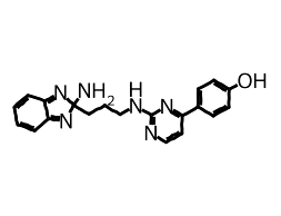 NC1(CCCNc2nccc(-c3ccc(O)cc3)n2)N=c2ccccc2=N1